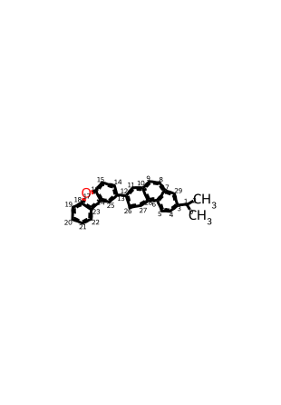 CC(C)c1ccc2c(ccc3cc(-c4ccc5oc6ccccc6c5c4)ccc32)c1